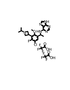 COc1c(C(C)Nc2ncnc3[nH]cnc23)cc(Cl)c(F)c1C1CN(C(C)C)C1.O=C(O)C(F)(F)F.O=C(O)C(F)(F)F